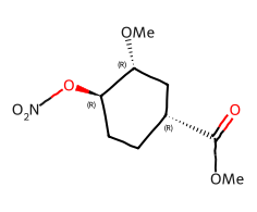 COC(=O)[C@@H]1CC[C@@H](O[N+](=O)[O-])[C@H](OC)C1